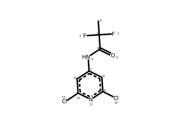 CC(F)(F)C(=O)Nc1cc(Cl)nc(Cl)c1